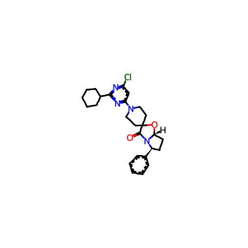 O=C1N2[C@@H](CC[C@H]2c2ccccc2)OC12CCN(c1cc(Cl)nc(C3CCCCC3)n1)CC2